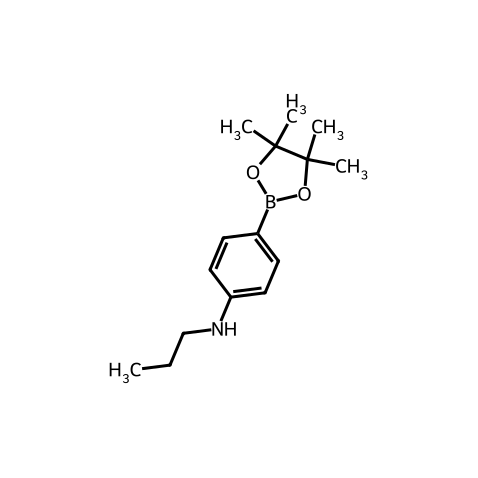 CCCNc1ccc(B2OC(C)(C)C(C)(C)O2)cc1